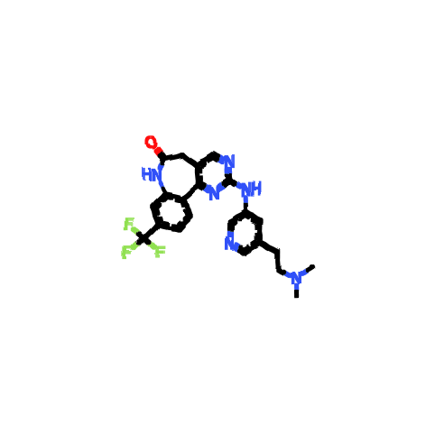 CN(C)CCc1cncc(Nc2ncc3c(n2)-c2ccc(C(F)(F)F)cc2NC(=O)C3)c1